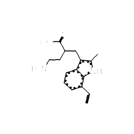 C=Cc1cccc2c(CC(CCN)C(=O)O)c(C)[nH]c12